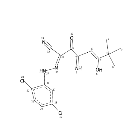 CC(C)(C)/C(O)=C/C(=N)C(=O)/C(C#N)=N/Nc1cc(Cl)ccc1Cl